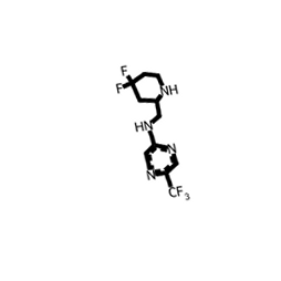 FC1(F)CCNC(CNc2cnc(C(F)(F)F)cn2)C1